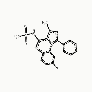 Cc1nc(-c2ccccc2)n2c1c(NS(C)(=O)=O)nc1ccc(F)cc12